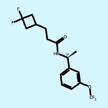 C[C@H](NC(=O)CCC1CC(F)(F)C1)c1cccc(OC(F)(F)F)c1